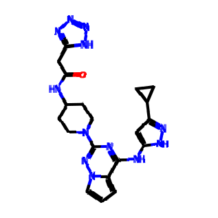 O=C(Cc1nnn[nH]1)NC1CCN(c2nc(Nc3cc(C4CC4)n[nH]3)c3cccn3n2)CC1